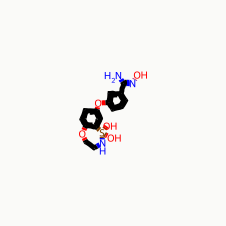 N/C(=N\O)c1cccc(Oc2ccc3c(c2)S(O)(O)NCCO3)c1